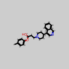 Cc1ccc(OC(O)CCN2CCC(c3cncc4ccccc34)CC2)cc1